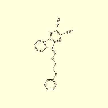 N#Cc1nc2c(nc1C#N)-c1ccccc1/C2=N\OCCOc1ccccc1